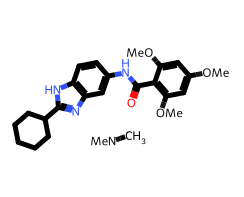 CNC.COc1cc(OC)c(C(=O)Nc2ccc3[nH]c(C4CCCCC4)nc3c2)c(OC)c1